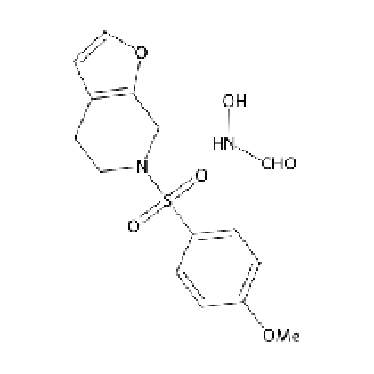 COc1ccc(S(=O)(=O)N2CCc3ccoc3C2)cc1.O=CNO